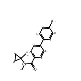 CN(C(=O)c1ccc(-c2ccc(F)cc2)cn1)C1(C)CC1